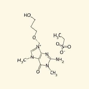 CCS(=O)(=O)[O-].Cn1c(N)nc2c(c1=O)n(C)c[n+]2COCCCO